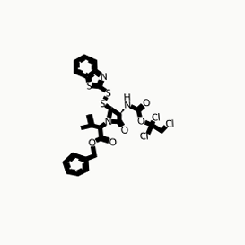 C=C(C)C(C(=O)OCc1ccccc1)N1C(=O)[C@@H](NC(=O)OC(Cl)(Cl)CCl)C1SSc1nc2ccccc2s1